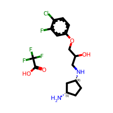 N[C@H]1CC[C@@H](NCC(O)COc2ccc(Cl)c(F)c2)C1.O=C(O)C(F)(F)F